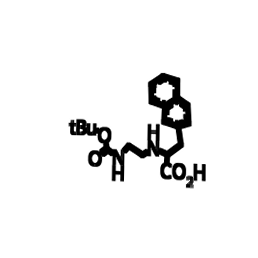 CC(C)(C)OC(=O)NCCNC(Cc1ccc2ccccc2c1)C(=O)O